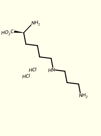 Cl.Cl.NCCCNCCCC[C@H](N)C(=O)O